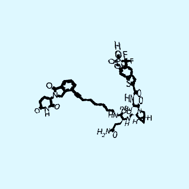 CCCC[C@H](NC(=O)c1cc2cc(C(F)(F)P(=O)(O)O)ccc2s1)C(=O)N1C[C@H]2C[C@H]2[C@@H]1C(=O)N[C@@H](CCC(N)=O)C(=O)NCCCCCCC#Cc1cccc2c1CN(C1CCC(=O)NC1=O)C2=O